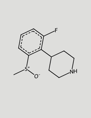 C[S+]([O-])c1cccc(F)c1C1CCNCC1